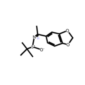 C/C(=N/[S+]([O-])C(C)(C)C)c1ccc2c(c1)OCO2